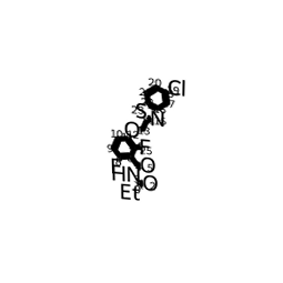 CCC(=O)NC(=O)c1c(F)ccc(OCc2nc3cc(Cl)ccc3s2)c1F